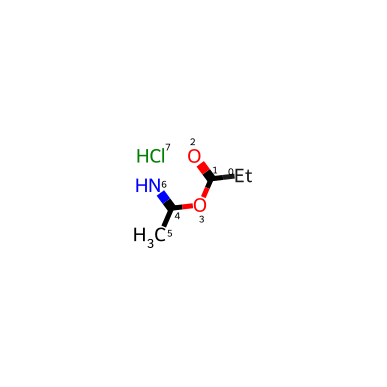 CCC(=O)OC(C)=N.Cl